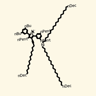 CCCCCCCCCCCCCCCCCCCCCCCC#CC1=C(c2cc(CCCCC)cc(CCCCC)c2)[N+](=[N-])C(c2cc(CCCC)cc(CCCC)c2)=C1CCCCC.CCCCCCCCCCCCCCCCCCCCCCCCCCCC[CH2][Ni][CH2]CCCCCCCCCCCCCCCCCCCCCCCCCCCC